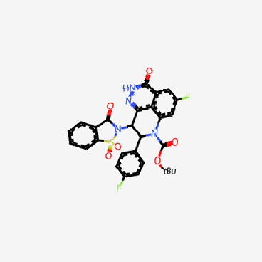 CC(C)(C)OC(=O)N1c2cc(F)cc3c(=O)[nH]nc(c23)C(N2C(=O)c3ccccc3S2(=O)=O)C1c1ccc(F)cc1